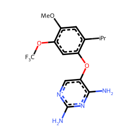 COc1cc(C(C)C)c(Oc2cnc(N)nc2N)cc1OC(F)(F)F